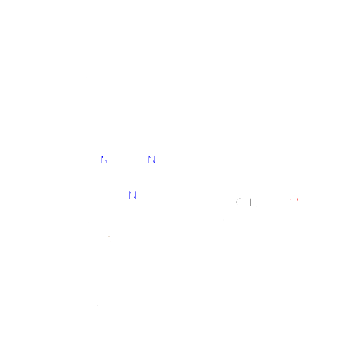 CC12C=CC=CC1=CC(c1nc(-c3ccc4ccc5ccccc5c4c3)nc(C3CC=Cc4c3sc3ccccc43)n1)=CC2c1cccc2oc3ccccc3c12